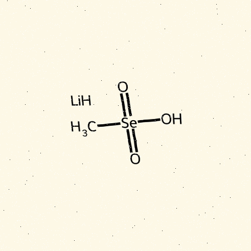 C[Se](=O)(=O)O.[LiH]